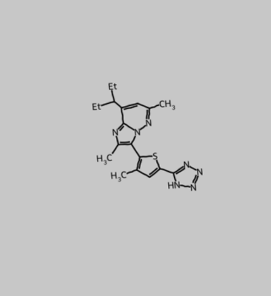 CCC(CC)c1cc(C)nn2c(-c3sc(-c4nnn[nH]4)cc3C)c(C)nc12